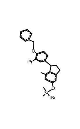 Cc1cc(O[Si](C)(C)C(C)(C)C)cc2c1C(c1ccc(OCc3ccccc3)c(C(C)C)c1)CC2